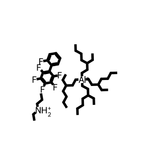 CCCCC(CC)C[CH2][Al-]([CH2]CC(CC)CCCC)([CH2]CC(CC)CCCC)[CH2]CC(CC)CCCC.CCC[NH2+]CC.Fc1ccccc1-c1c(F)c(F)c(F)c(F)c1F